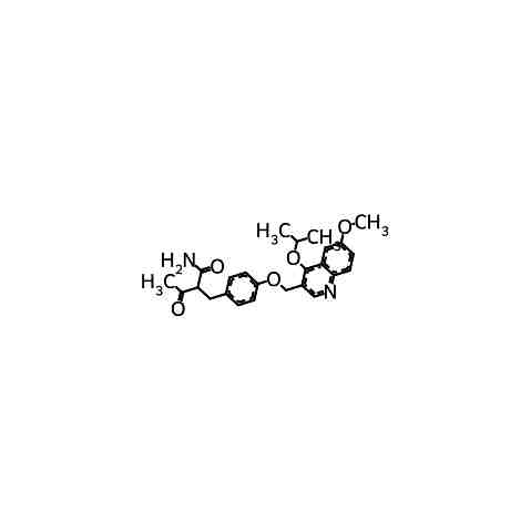 COc1ccc2ncc(COc3ccc(CC(C(C)=O)C(N)=O)cc3)c(OC(C)C)c2c1